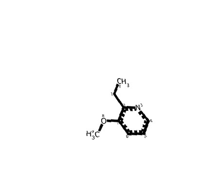 CCc1n[c]ccc1OC